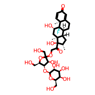 C[C@H]1C[C@H]2[C@@H]3CCC4=CC(=O)C=C[C@]4(C)[C@@]3(F)[C@@H](O)C[C@]2(C)[C@@]1(O)C(=O)COC1(CO)O[C@H](CO)[C@@H](O[C@@H]2O[C@H](CO)[C@H](O)[C@H](O)[C@H]2O)[C@@H]1O